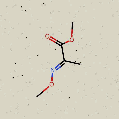 [CH2]/C(=N\OC)C(=O)OC